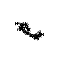 Cc1ncoc1-c1ccc([C@H](C)NC(=O)[C@@H]2C[C@@H](O)CN2C(=O)C(NC(=O)COC[C@H]2CC3(C2)C[C@H](COc2ccc(N4C(=S)N(c5ccc(C#N)c(C(F)(F)F)c5)C(=O)C4(C)C)cc2)C3)C(C)(C)C)cc1